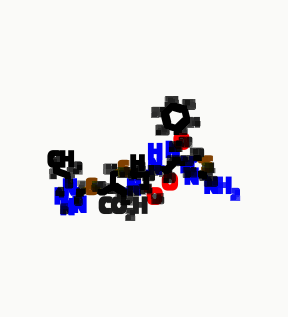 C=CCn1nnnc1SCC1=C(C(=O)O)N2C(=O)C(NC(=O)C(=NOc3ccccc3)N3CSC(N)=N3)[C@@H]2SC1